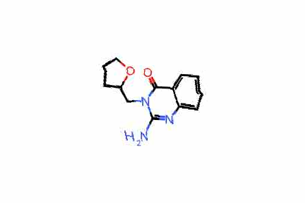 Nc1nc2ccccc2c(=O)n1CC1CCCO1